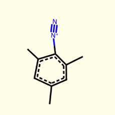 Cc1cc(C)c([N+]#N)c(C)c1